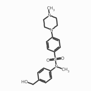 CN1CCN(c2ccc(S(=O)(=O)N(C)c3ccc(CO)cc3)cc2)CC1